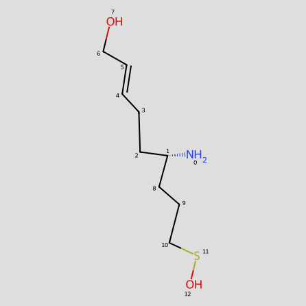 N[C@@H](CC/C=C/CO)CCCSO